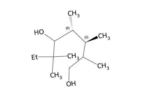 CCC(C)(C)C(O)[C@H](C)[C@@H](C)C(C)CO